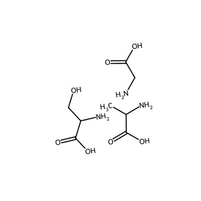 CC(N)C(=O)O.NC(CO)C(=O)O.NCC(=O)O